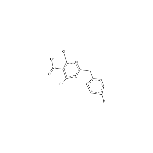 O=[N+]([O-])c1c(Cl)nc(Cc2ccc(F)cc2)nc1Cl